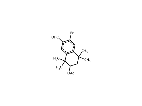 CC(=O)OC1CC(C)(C)c2cc(Br)c(C=O)cc2C1(C)C